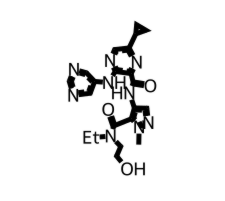 CCN(CCO)C(=O)c1c(NC(=O)c2nc(C3CC3)cnc2Nc2cncnc2)cnn1C